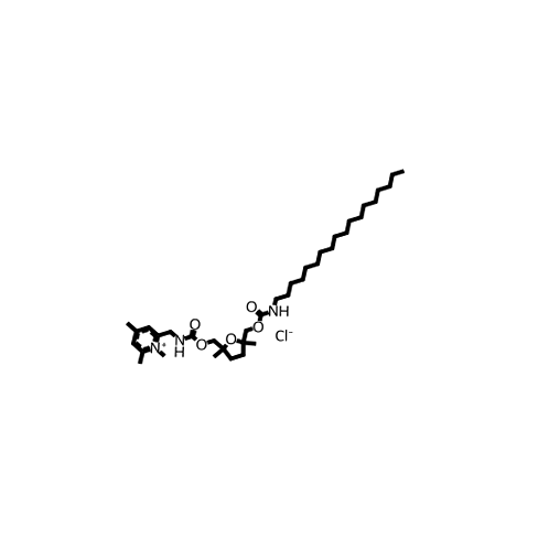 CCCCCCCCCCCCCCCCCCNC(=O)OCC1(C)CCC(C)(COC(=O)NCc2cc(C)cc(C)[n+]2C)O1.[Cl-]